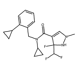 CN1C=C(C(=O)N(Cc2ccccc2C2CC2)C2CC2)C(F)(C(F)F)N1